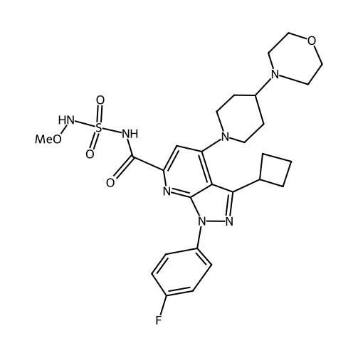 CONS(=O)(=O)NC(=O)c1cc(N2CCC(N3CCOCC3)CC2)c2c(C3CCC3)nn(-c3ccc(F)cc3)c2n1